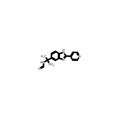 CC(C)(NC=O)c1ccc2[nH]c(-c3ccncc3)nc2c1